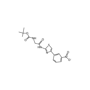 CC(C)(C)OC(=O)NCC(=O)Nc1nc(-c2cccc([N+](=O)[O-])c2)cs1